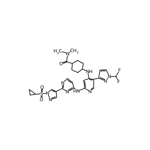 CN(C)C(=O)C1CCC(Nc2cc(Nc3ccnc(-c4cnn(S(=O)(=O)C5CC5)c4)n3)ncc2-c2ccn(C(F)F)n2)CC1